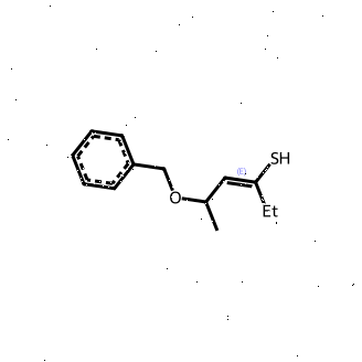 CC/C(S)=C\C(C)OCc1ccccc1